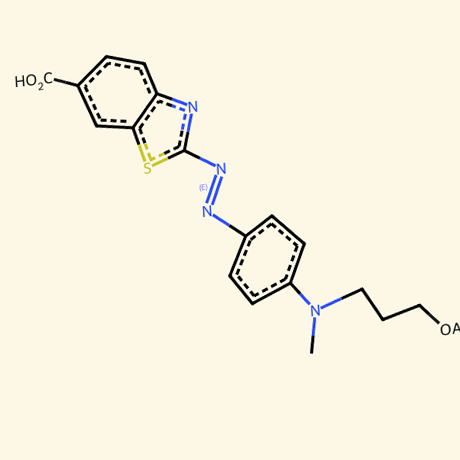 CC(=O)OCCCN(C)c1ccc(/N=N/c2nc3ccc(C(=O)O)cc3s2)cc1